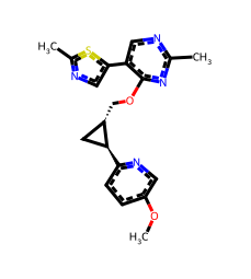 COc1ccc([C@H]2C[C@@H]2COc2nc(C)ncc2-c2cnc(C)s2)nc1